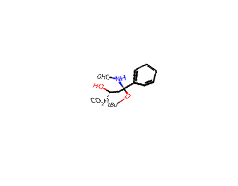 CC(C)(C)O[C@@](NC=O)(c1ccccc1)[C@@H](O)C(=O)O